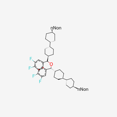 CCCCCCCCC[C@H]1CC[C@H]([C@H]2CC[C@H](C(OC(c3ccc(F)c(F)c3)[C@H]3CC[C@H]([C@H]4CC[C@H](CCCCCCCCC)CC4)CC3)c3ccc(F)c(F)c3)CC2)CC1